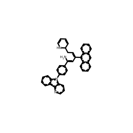 N/C(=C\C(=C/CC1C=CC=CN1)c1c2ccccc2cc2ccccc12)c1ccc(-n2c3ccccc3c3ncccc32)cc1